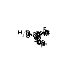 COC(=O)CC[C@H]1CN(S(=O)(=O)c2cccc(OC(F)F)c2)c2cc(/C=C/c3ncccc3F)ccc2O1